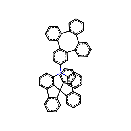 c1ccc(N(c2ccc3c(c2)-c2ccccc2-c2ccccc2-c2ccccc2-3)c2cccc3c2C2(c4ccccc4-c4ccccc42)c2ccccc2-3)cc1